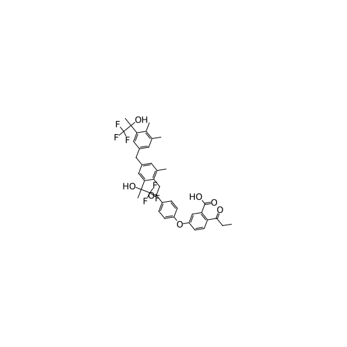 CCC(=O)c1ccc(Oc2ccc(C(=O)Cc3c(C)cc(Cc4cc(C)c(C)c(C(C)(O)C(F)(F)F)c4)cc3C(C)(O)C(F)(F)F)cc2)cc1C(=O)O